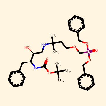 CC(C)(CCOCP(=O)(OCc1ccccc1)OCc1ccccc1)NC[C@@H](O)[C@H](Cc1ccccc1)NC(=O)OC(C)(C)C